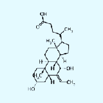 CC=C1[C@@H](O)[C@@H]2[C@H](CC[C@]3(C)[C@@H](C(C)CCC(=O)O)CC[C@@H]23)[C@@]2(C)CC[C@@H](O)C[C@@H]12